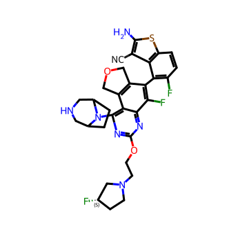 N#Cc1c(N)sc2ccc(F)c(-c3c4c(c5c(N6C7CCC6CNC7)nc(OCCN6CC[C@H](F)C6)nc5c3F)COC4)c12